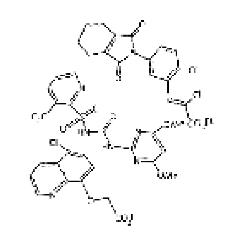 CCOC(=O)/C(Cl)=C/c1cc(N2C(=O)C3=C(CCCC3)C2=O)ccc1Cl.COc1cc(OC)nc(NC(=O)NS(=O)(=O)c2ncccc2C(F)(F)F)n1.O=C(O)COc1ccc(Cl)c2cccnc12